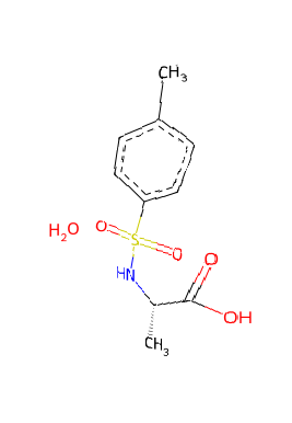 Cc1ccc(S(=O)(=O)N[C@@H](C)C(=O)O)cc1.O